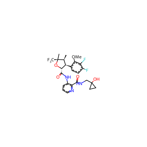 COc1c([C@H]2[C@H](C(=O)Nc3cccnc3C(=O)NCC3(O)CC3)O[C@@](C)(C(F)(F)F)[C@H]2C)ccc(F)c1F